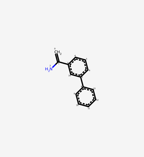 C=C(N)c1cccc(-c2ccccc2)c1